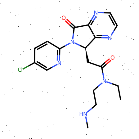 CCN(CCNC)C(=O)C[C@@H]1c2nccnc2C(=O)N1c1ccc(Cl)cn1